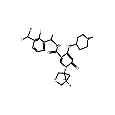 CC(NC(=O)c1cn([C@]23COC[C@H]2C3)c(=O)cc1NC1CCN(C)CC1)c1cccc(C(F)F)c1F